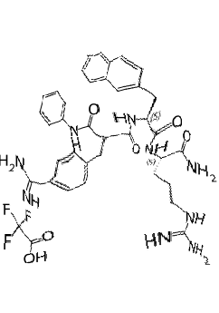 N=C(N)NCCC[C@H](NC(=O)[C@H](Cc1ccc2ccccc2c1)NC(=O)C(Cc1ccc(C(=N)N)cc1)C(=O)Nc1ccccc1)C(N)=O.O=C(O)C(F)(F)F